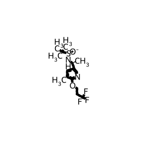 Cc1cc([C@@H](C)N[S@+]([O-])C(C)(C)C)cnc1OCCC(F)(F)F